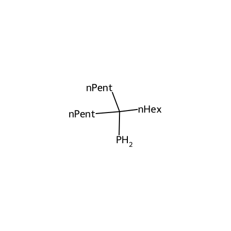 CCCCCCC(P)(CCCCC)CCCCC